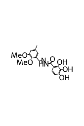 COc1cc(C)cc(/C=N/NC(=O)c2ccc(O)c(O)c2O)c1OC